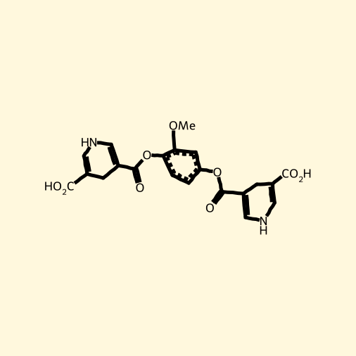 COc1cc(OC(=O)C2=CNC=C(C(=O)O)C2)ccc1OC(=O)C1=CNC=C(C(=O)O)C1